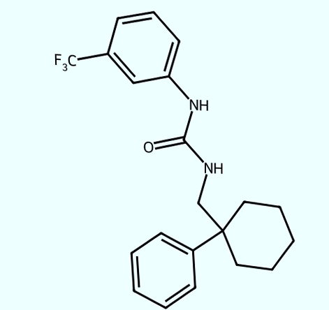 O=C(NCC1(c2ccccc2)CCCCC1)Nc1cccc(C(F)(F)F)c1